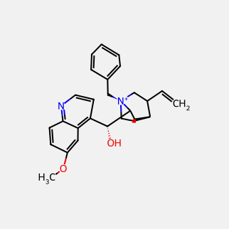 C=CC1C[N@@+]2(Cc3ccccc3)CCC1CC2[C@H](O)c1ccnc2ccc(OC)cc12